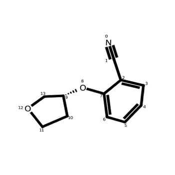 N#Cc1ccccc1O[C@@H]1CCOC1